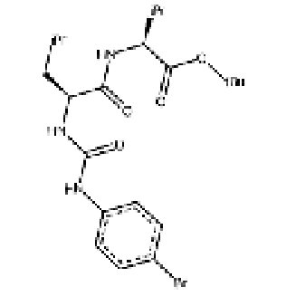 CC(C)C[C@H](NC(=O)Nc1ccc(Br)cc1)C(=O)N[C@H](C(=O)OC(C)(C)C)C(C)C